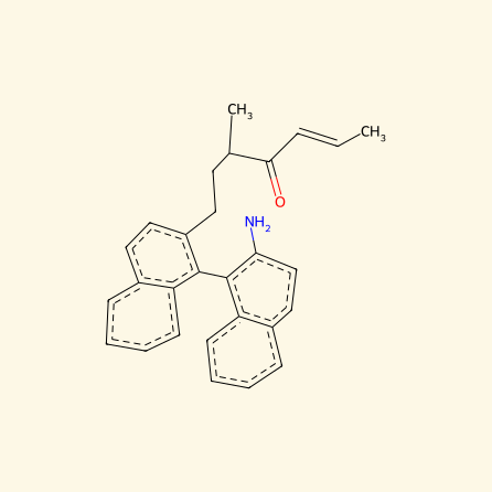 C/C=C/C(=O)C(C)CCc1ccc2ccccc2c1-c1c(N)ccc2ccccc12